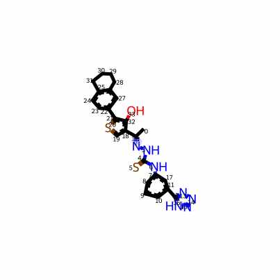 C/C(=N\NC(=S)Nc1cccc(-c2nnn[nH]2)c1)c1csc(-c2ccc3c(c2)CCCC3)c1O